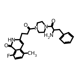 Cc1ccc(F)c2c(=O)[nH]c(CCC(=O)N3CCN(C(=O)C(N)Cc4ccccc4)CC3)cc12